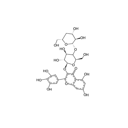 O=c1c(O[C@@H]2O[C@H](CO)C(O[C@@H]3O[C@H](CO)C[C@H](O)[C@H]3O)[C@H](O)[C@H]2O)c(-c2cc(O)c(O)c(O)c2)oc2cc(O)cc(O)c12